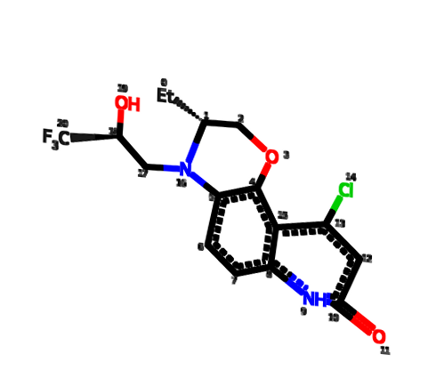 CC[C@@H]1COc2c(ccc3[nH]c(=O)cc(Cl)c23)N1C[C@H](O)C(F)(F)F